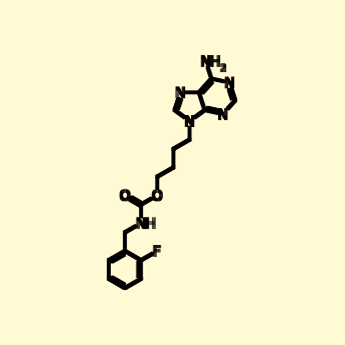 Nc1ncnc2c1ncn2CCCCOC(=O)NCc1ccccc1F